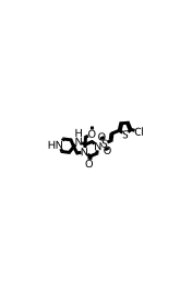 COCC12CN(S(=O)(=O)/C=C/c3ccc(Cl)s3)CC(=O)N1CC1(CCNCC1)N2